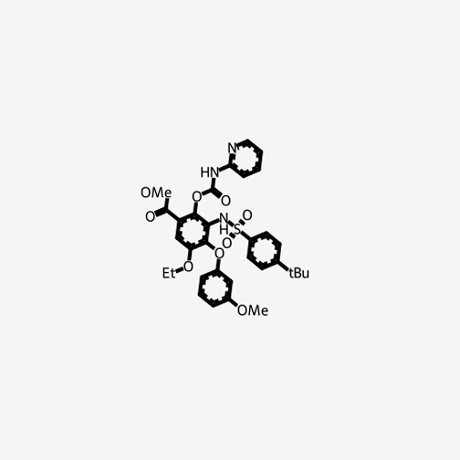 CCOc1cc(C(=O)OC)c(OC(=O)Nc2ccccn2)c(NS(=O)(=O)c2ccc(C(C)(C)C)cc2)c1Oc1cccc(OC)c1